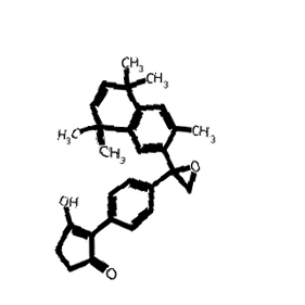 Cc1cc2c(cc1C1(c3ccc(C4=C(O)CCC4=O)cc3)CO1)C(C)(C)C=CC2(C)C